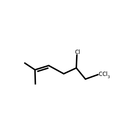 CC(C)=CCC(Cl)CC(Cl)(Cl)Cl